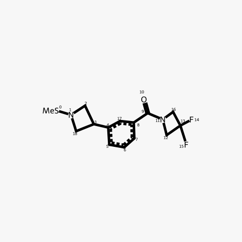 CSN1CC(c2cccc(C(=O)N3CC(F)(F)C3)c2)C1